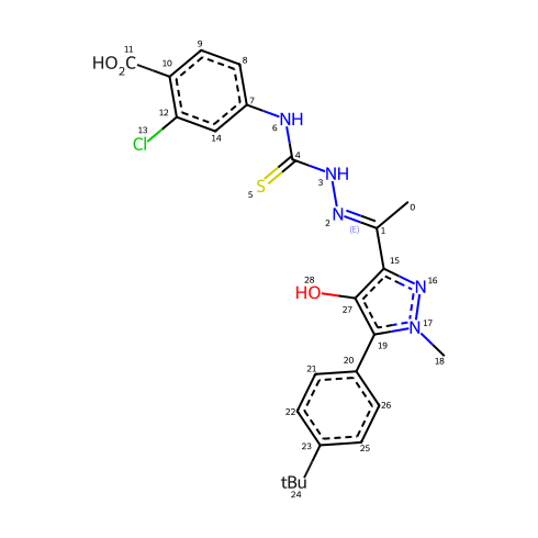 C/C(=N\NC(=S)Nc1ccc(C(=O)O)c(Cl)c1)c1nn(C)c(-c2ccc(C(C)(C)C)cc2)c1O